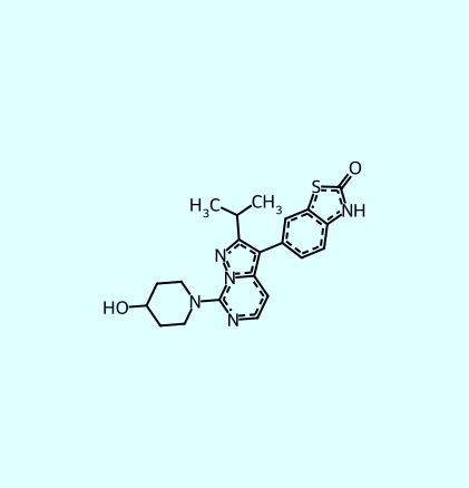 CC(C)c1nn2c(N3CCC(O)CC3)nccc2c1-c1ccc2[nH]c(=O)sc2c1